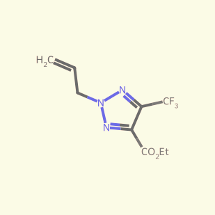 C=CCn1nc(C(=O)OCC)c(C(F)(F)F)n1